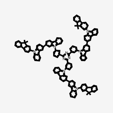 CC1(C)c2ccccc2-c2ccc(-n3c4ccccc4c4cc(-c5ccc6c7ccccc7n(-c7cccc(-c8nc(-c9cccc(-n%10c%11ccccc%11c%11ccc(-c%12ccc%13c(c%12)c%12ccccc%12n%13-c%12ccc%13c(c%12)C(C)(C)c%12ccccc%12-%13)cc%11%10)c9)nc(-c9cccc(-n%10c%11ccccc%11c%11ccc(-c%12ccc%13c(c%12)c%12ccccc%12n%13-c%12ccc%13c(c%12)C(C)(C)c%12ccccc%12-%13)cc%11%10)c9)n8)c7)c6c5)ccc43)cc21